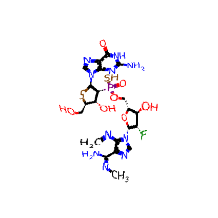 C=Nc1c(/C(N)=N\C)ncn1[C@@H]1O[C@H](COP(=O)(S)[C@@H]2[C@H](O)[C@@H](CO)S[C@H]2n2cnc3c(=O)[nH]c(N)nc32)[C@@H](O)[C@@H]1F